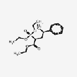 CCOC(=O)C(CC(C)c1ccccc1)P(=O)(OCC)OCC